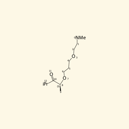 CNCCOCCCO[C@@H](C)C(=O)C(C)C